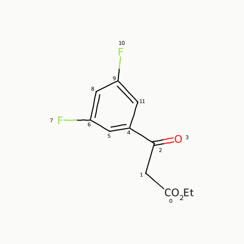 CCOC(=O)CC(=O)c1cc(F)cc(F)c1